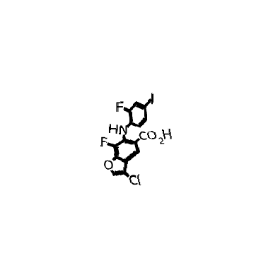 O=C(O)c1cc2c(Cl)coc2c(F)c1Nc1ccc(I)cc1F